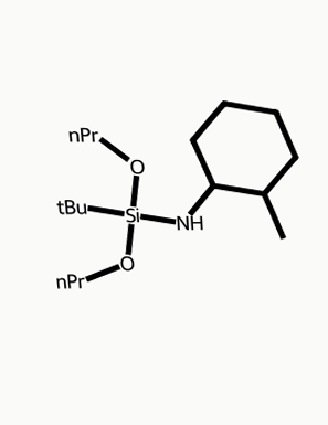 CCCO[Si](NC1CCCCC1C)(OCCC)C(C)(C)C